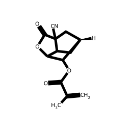 C=C(C)C(=O)OC1C2OC(=O)C3(C#N)C[C@@H]1CC23